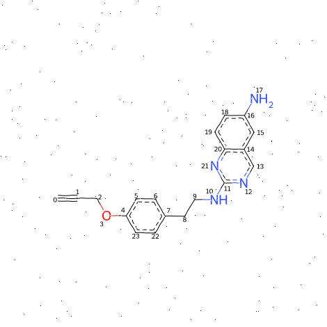 C#CCOc1ccc(CCNc2ncc3cc(N)ccc3n2)cc1